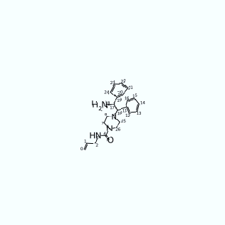 C=CCNC(=O)N1CCN([C@H](c2ccccc2)[C@@H](N)c2ccccc2)CC1